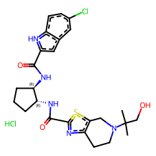 CC(C)(CO)N1CCc2nc(C(=O)N[C@@H]3CCC[C@H]3NC(=O)c3cc4cc(Cl)ccc4[nH]3)sc2C1.Cl